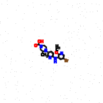 COc1ncc(Br)cc1Nc1ccc(N2CCN(C(=O)O)CC2C)cn1